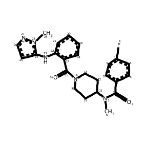 CN(C(=O)c1ccc(F)cc1)C1CCN(C(=O)c2ccccc2Nc2ccnn2C)CC1